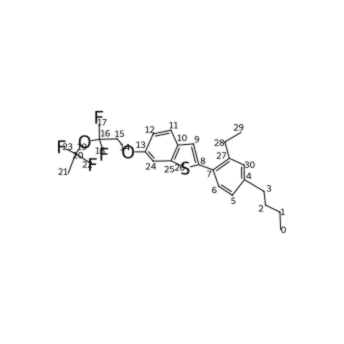 CCCCc1ccc(-c2cc3ccc(OCC(F)(F)OC(C)(F)F)cc3s2)c(CC)c1